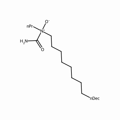 CCCCCCCCCCCCCCCCCC[N+]([O-])(CCC)C(N)=O